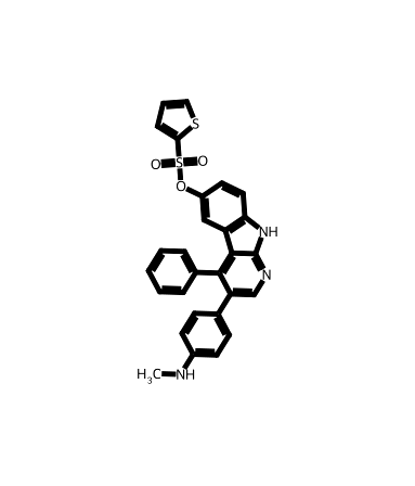 CNc1ccc(-c2cnc3[nH]c4ccc(OS(=O)(=O)c5cccs5)cc4c3c2-c2ccccc2)cc1